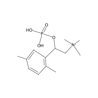 Cc1ccc(C)c(C(C[N+](C)(C)C)OP(=O)(O)O)c1